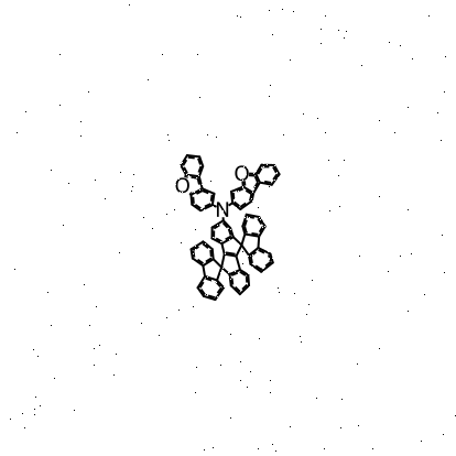 c1ccc2c(c1)C1=C(c3ccc(N(c4ccc5c(c4)oc4ccccc45)c4ccc5oc6ccccc6c5c4)cc3C13c1ccccc1-c1ccccc13)C21c2ccccc2-c2ccccc21